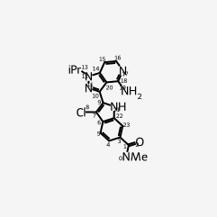 CNC(=O)c1ccc2c(Cl)c(-c3nn(C(C)C)c4ccnc(N)c34)[nH]c2c1